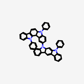 C1=CC2C(c3cc(N4c5ccccc5C5C=c6c(n(-c7ccccc7)c7ccccc67)=CC54)ccc3N2c2ccccc2)c2c1c1ccccc1n2-c1ccccc1